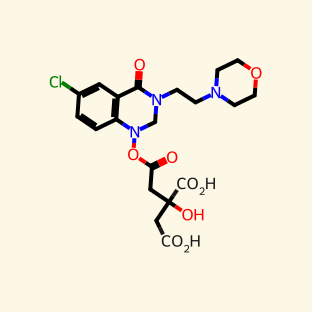 O=C(O)CC(O)(CC(=O)ON1CN(CCN2CCOCC2)C(=O)c2cc(Cl)ccc21)C(=O)O